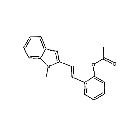 CC(=O)Oc1ccccc1C=Cc1cc2ccccc2n1C